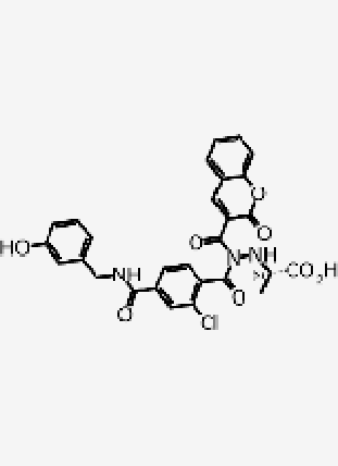 C[C@H](NN(C(=O)c1ccc(C(=O)NCc2cccc(O)c2)cc1Cl)C(=O)c1cc2ccccc2oc1=O)C(=O)O